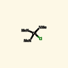 C[NH][Ge]([Cl])([NH]C)[NH]C